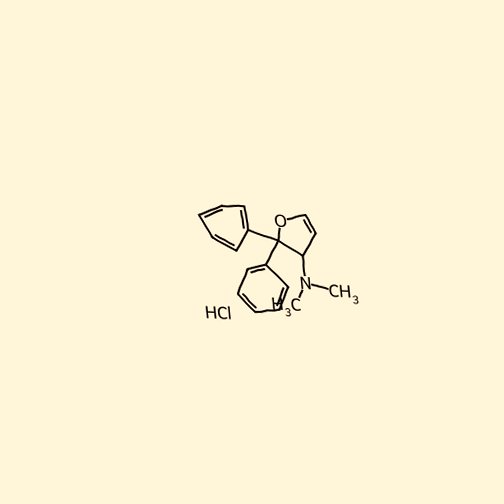 CN(C)C1C=COC1(c1ccccc1)c1ccccc1.Cl